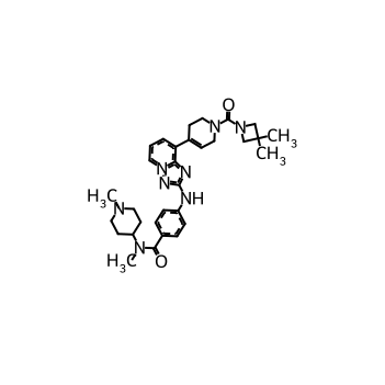 CN1CCC(N(C)C(=O)c2ccc(Nc3nc4c(C5=CCN(C(=O)N6CC(C)(C)C6)CC5)cccn4n3)cc2)CC1